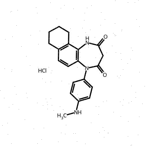 CNc1ccc(N2C(=O)CC(=O)Nc3c2ccc2c3CCCC2)cc1.Cl